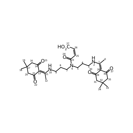 CC(NCCCN(CCCNC(C)=C1C(=O)CC(C)(C)CC1=O)C(=O)/C=C\C(=O)O)=C1C(=O)CC(C)(C)CC1=O